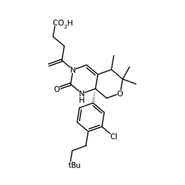 C=C(CCC(=O)O)N1C=C2C(C)C(C)(C)OC[C@@]2(c2ccc(CCC(C)(C)C)c(Cl)c2)NC1=O